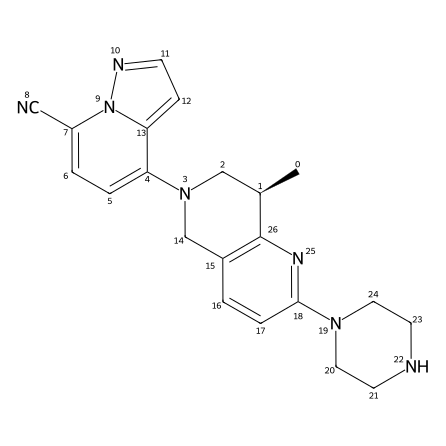 C[C@@H]1CN(c2ccc(C#N)n3nccc23)Cc2ccc(N3CCNCC3)nc21